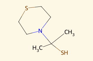 CC(C)(S)N1CCSCC1